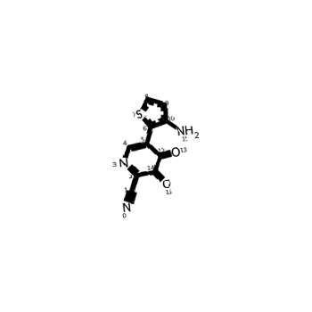 N#CC1=NC=C(c2sccc2N)C(=O)C1=O